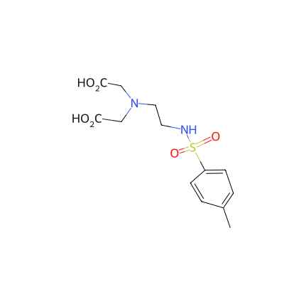 Cc1ccc(S(=O)(=O)NCCN(CC(=O)O)CC(=O)O)cc1